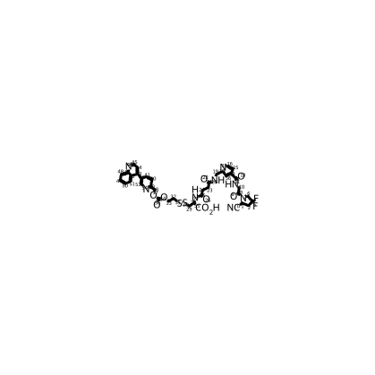 N#CC1CC(F)(F)CN1C(=O)CNC(=O)c1ccnc(CNC(=O)CCC(=O)NC(CSSCCOC(=O)OCc2ccc(-c3ccnc4ccccc34)cn2)C(=O)O)c1